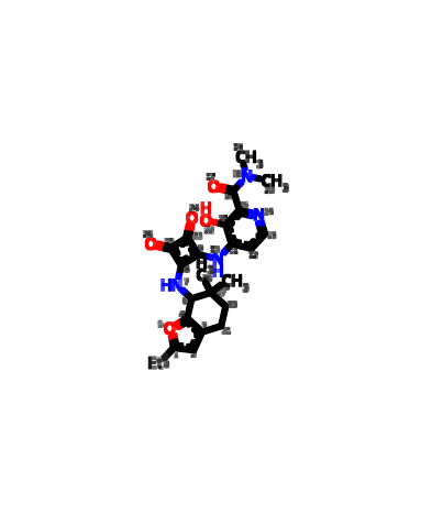 CCc1cc2c(o1)C(Nc1c(Nc3ccnc(C(=O)N(C)C)c3O)c(=O)c1=O)C(C)(C)CC2